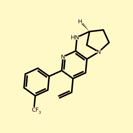 C=Cc1cc2c(nc1-c1cccc(C(F)(F)F)c1)N[C@H]1CCN2C1